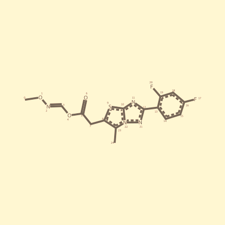 CO/N=C/OC(=O)Cc1sc2nc(-c3ccc(F)cc3F)nn2c1C